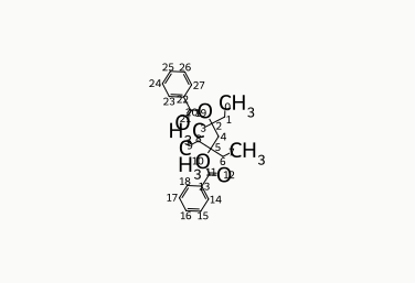 CCC(C)(CC(CC)(CC)OC(=O)c1ccccc1)OC(=O)c1ccccc1